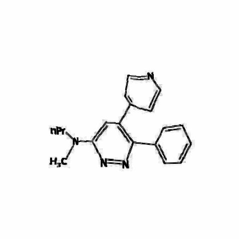 CCCN(C)c1cc(-c2ccncc2)c(-c2ccccc2)nn1